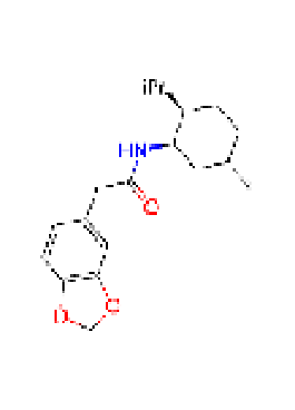 CC(C)[C@H]1CC[C@H](C)C[C@H]1NC(=O)Cc1ccc2c(c1)OCO2